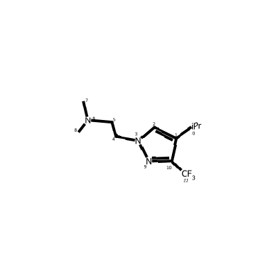 CC(C)c1cn(CCN(C)C)nc1C(F)(F)F